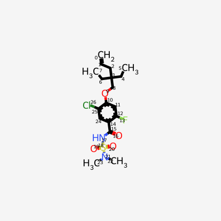 C=CCC(CC)(CC)COc1cc(F)c(C(=O)NS(=O)(=O)N(C)C)cc1Cl